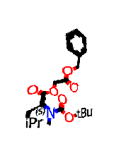 CC(C)C[C@@H](C(=O)OCC(=O)OCc1ccccc1)N(C)C(=O)OC(C)(C)C